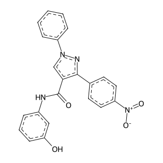 O=C(Nc1cccc(O)c1)c1cn(-c2ccccc2)nc1-c1ccc([N+](=O)[O-])cc1